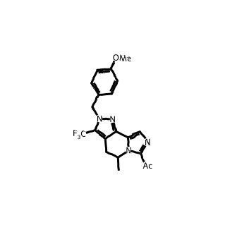 COc1ccc(Cn2nc3c(c2C(F)(F)F)CC(C)n2c-3cnc2C(C)=O)cc1